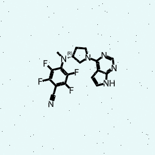 CN(c1c(F)c(F)c(C#N)c(F)c1F)[C@@H]1CCN(c2ncnc3[nH]ccc23)C1